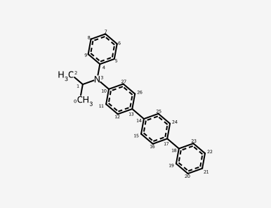 CC(C)N(c1ccccc1)c1ccc(-c2ccc(-c3ccccc3)cc2)cc1